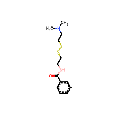 CN(C)CCSSCCBC(=O)c1ccccc1